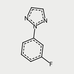 Fc1cccc(-n2nccn2)c1